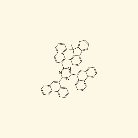 CC1(C)c2ccccc2-c2cccc(-c3c(-c4nc(-c5cc6ccccc6c6ccccc56)nc(-c5cc6ccccc6c6ccccc56)n4)ccc4ccccc34)c21